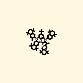 C=C1/C(=C\c2sc3c(c2C)N(c2ccc4c(c2)C(C)(C)CCC4(C)C)c2cc(C(C)(C)C)cc4c2B3C2C=C3C(=CC2N4c2cc4c(cc2C)C(C)(C)CCC4(C)C)C(C)(C)CCC3(C)C)C(C)(C)CCC1(C)C